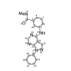 CNC(=O)c1cccc(Nc2ncnc3c2cnn3-c2ccccc2)c1